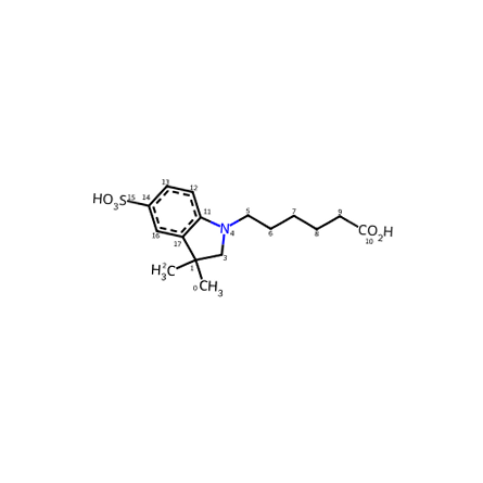 CC1(C)CN(CCCCCC(=O)O)c2ccc(S(=O)(=O)O)cc21